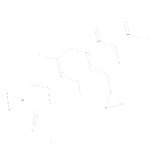 O=C(O)c1cn(C2CC2)c2c(Cl)c(N3C/C(=N\O)C4(CC4)C3)c(F)cc2c1=O